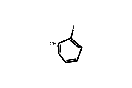 C.Ic1ccccc1